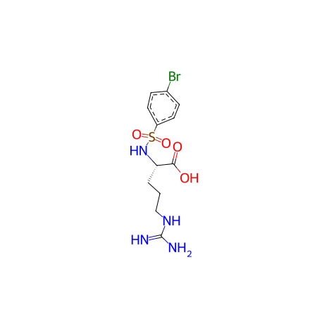 N=C(N)NCCC[C@H](NS(=O)(=O)c1ccc(Br)cc1)C(=O)O